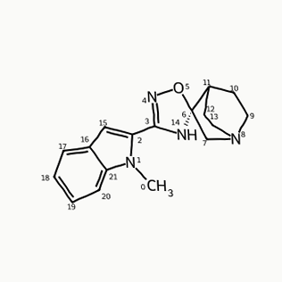 Cn1c(C2=NO[C@@]3(CN4CCC3CC4)N2)cc2ccccc21